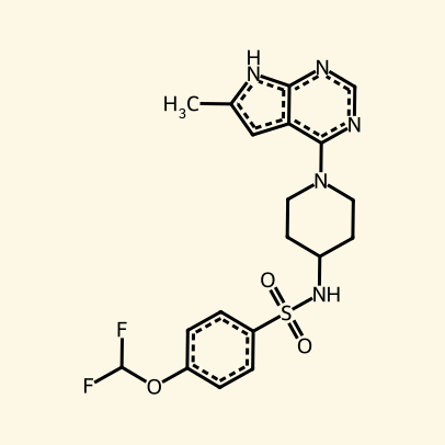 Cc1cc2c(N3CCC(NS(=O)(=O)c4ccc(OC(F)F)cc4)CC3)ncnc2[nH]1